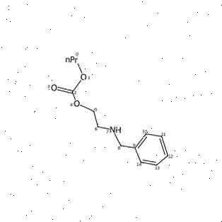 CCCOC(=O)OCCNCc1ccccc1